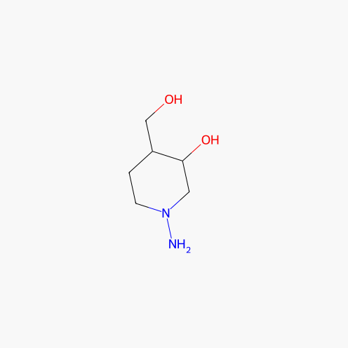 NN1CCC(CO)C(O)C1